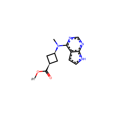 CC(C)OC(=O)[C@H]1C[C@@H](N(C)c2ncnc3[nH]ccc23)C1